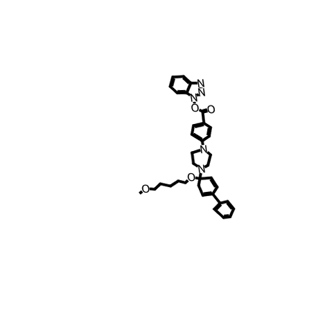 COCCCCCOC1(N2CCN(c3ccc(C(=O)On4nnc5ccccc54)cc3)CC2)C=CC(c2ccccc2)=CC1